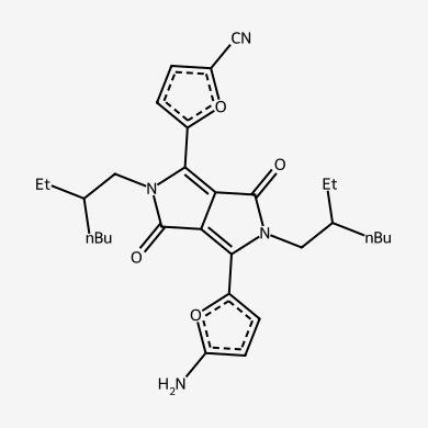 CCCCC(CC)CN1C(=O)C2=C(c3ccc(C#N)o3)N(CC(CC)CCCC)C(=O)C2=C1c1ccc(N)o1